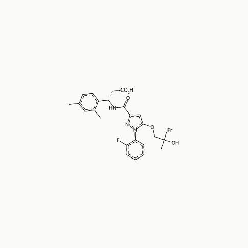 Cc1ccc([C@H](CC(=O)O)NC(=O)c2cc(OCC(C)(O)C(C)C)n(-c3ccccc3F)n2)c(C)c1